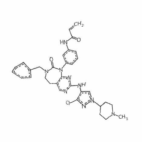 C=CC(=O)Nc1cccc(N2C(=O)N(Cc3ccccc3)CCc3cnc(Nc4cn(C5CCN(C)CC5)nc4Cl)nc32)c1